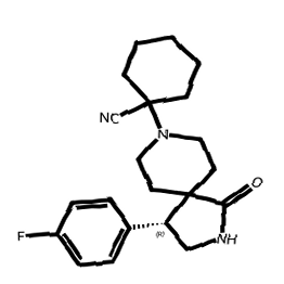 N#CC1(N2CCC3(CC2)C(=O)NC[C@@H]3c2ccc(F)cc2)CCCCC1